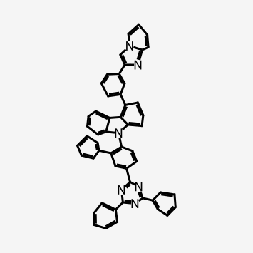 c1ccc(-c2nc(-c3ccccc3)nc(-c3ccc(-n4c5ccccc5c5c(-c6cccc(-c7cn8ccccc8n7)c6)cccc54)c(-c4ccccc4)c3)n2)cc1